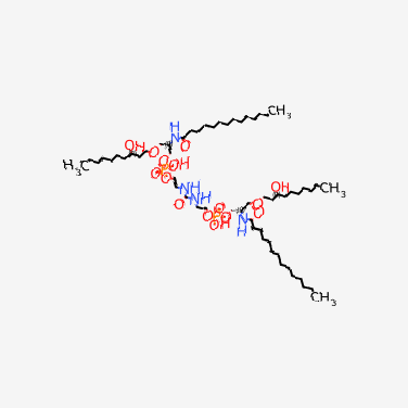 CCCCCCCCCCCCCC(=O)N[C@H](COCC[C@H](O)CCCCCCC)COP(=O)(O)OCCNC(=O)NCCOP(=O)(O)OC[C@H](COCC[C@H](O)CCCCCCC)NC(=O)CCCCCCCCCCCCC